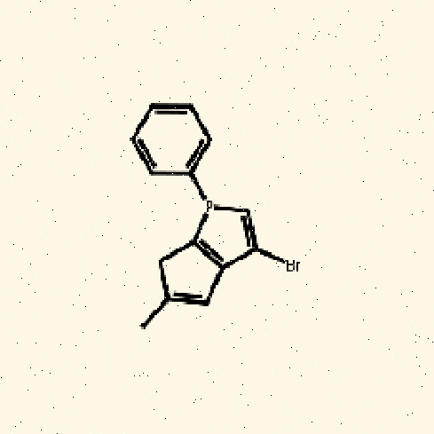 CC1=Cc2c(Br)cp(-c3ccccc3)c2C1